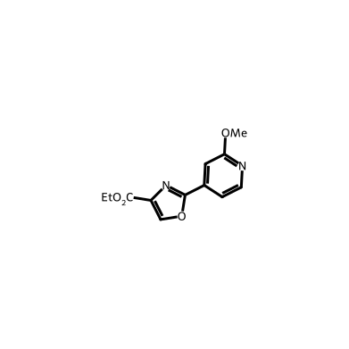 CCOC(=O)c1coc(-c2ccnc(OC)c2)n1